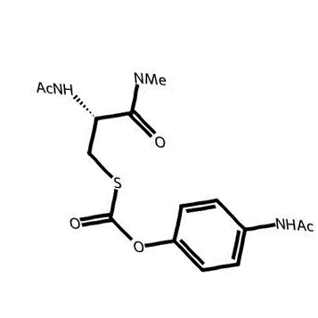 CNC(=O)[C@H](CSC(=O)Oc1ccc(NC(C)=O)cc1)NC(C)=O